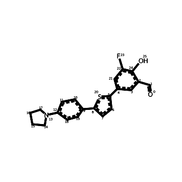 O=Cc1cc(-c2ccc(-c3ccc(N4CCCC4)cc3)s2)cc(F)c1O